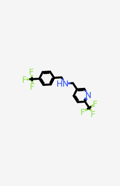 FC(F)(F)c1ccc(CNCc2ccc(C(F)(F)F)nc2)cc1